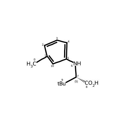 Cc1cccc(N[C@H](C(=O)O)C(C)(C)C)c1